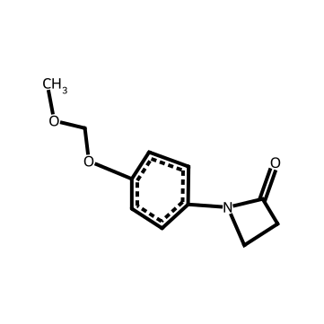 COCOc1ccc(N2CCC2=O)cc1